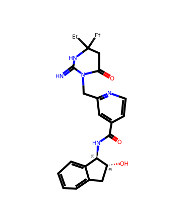 CCC1(CC)CC(=O)N(Cc2cc(C(=O)N[C@@H]3c4ccccc4C[C@H]3O)ccn2)C(=N)N1